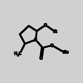 CCOC1CCC(C)N1C(=O)OC(C)(C)C